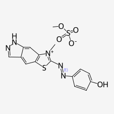 COS(=O)(=O)[O-].C[n+]1c(/N=N/c2ccc(O)cc2)sc2cc3cn[nH]c3cc21